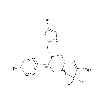 Fc1ccc([C@H]2CNCCN2Cc2cc(Br)co2)cc1.O=C(O)C(F)(F)F